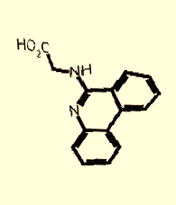 O=C(O)CNc1nc2ccccc2c2ccccc12